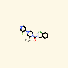 CC1CN(c2ccncc2F)CCN1C(=O)NCc1ccccc1Cl